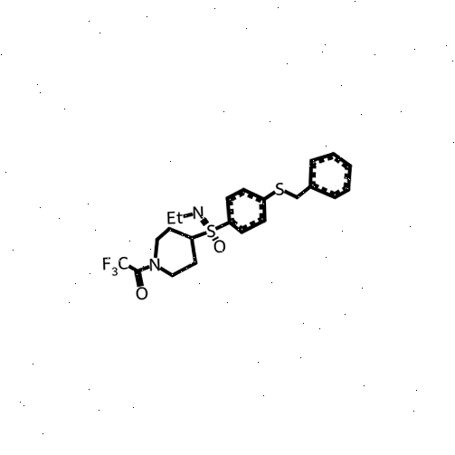 CCN=S(=O)(c1ccc(SCc2ccccc2)cc1)C1CCN(C(=O)C(F)(F)F)CC1